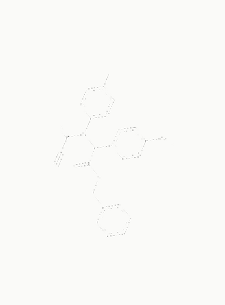 C#CC(=O)N(c1ccc(Cl)cc1)C(C(=O)NCc1ccccc1)c1ccc([N+](=O)[O-])cc1